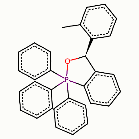 Cc1ccccc1[C@@H]1OP(c2ccccc2)(c2ccccc2)(c2ccccc2)c2ccccc21